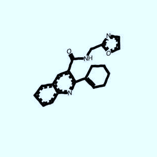 O=C(NCc1ncco1)c1cc2ccccc2nc1C1=CCCCC1